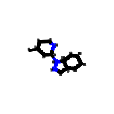 Cc1ccnc(-n2ncc3ccccc32)c1